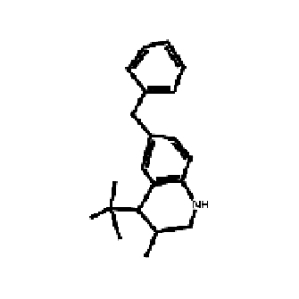 CC1CNc2ccc(Cc3ccccc3)cc2C1C(C)(C)C